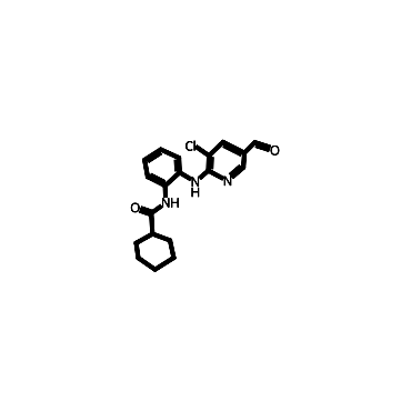 O=Cc1cnc(Nc2ccccc2NC(=O)C2CCCCC2)c(Cl)c1